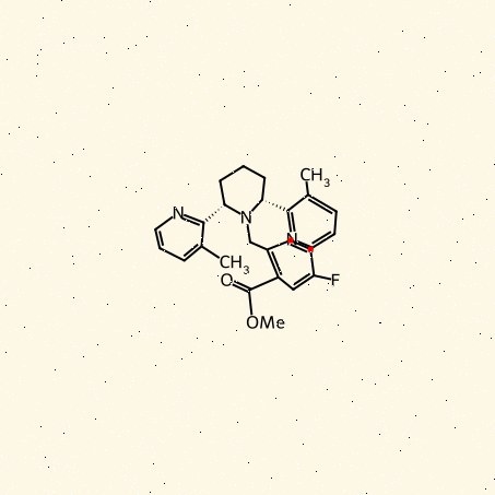 COC(=O)c1cc(F)ccc1CN1[C@@H](c2ncccc2C)CCC[C@H]1c1ncccc1C